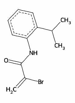 C=C(Br)C(=O)Nc1ccccc1C(C)C